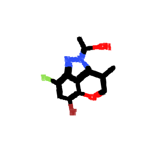 CC1COc2c(Br)cc(F)c3nn(C(C)O)c1c23